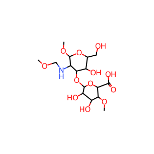 COCNC1C(OC)OC(CO)C(O)C1OC1OC(C(=O)O)C(OC)C(O)C1O